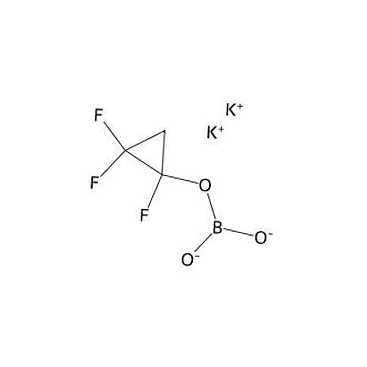 [K+].[K+].[O-]B([O-])OC1(F)CC1(F)F